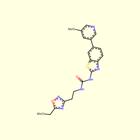 COCc1nc(CCNC(=O)Nc2nc3ccc(-c4cncc(OC)c4)cc3s2)no1